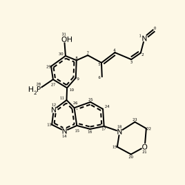 C=N/C=C\C=C(/C)Cc1cc(-c2ncnc3cc(N4CCOCC4)ccc23)c(P)cc1O